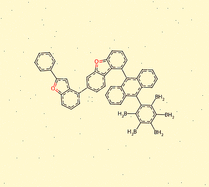 Bc1c(B)c(B)c(-c2c3ccccc3c(-c3cccc4oc5cc(-c6cccc7oc(-c8ccccc8)cc67)ccc5c34)c3ccccc23)c(B)c1B